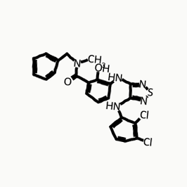 CN(Cc1ccccc1)C(=O)c1cccc(Nc2nsnc2Nc2cccc(Cl)c2Cl)c1O